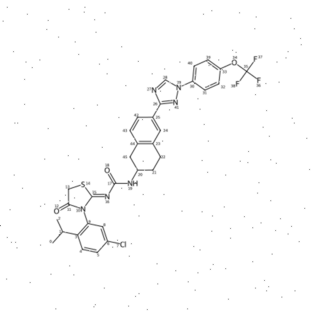 CC(C)c1ccc(Cl)cc1N1C(=O)CSC1=NC(=O)NC1CCc2cc(-c3ncn(-c4ccc(OC(F)(F)F)cc4)n3)ccc2C1